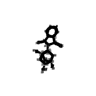 O=C1c2ccccc2C(=O)N1[C@@H]1C[C@@H]2C[C@H]1C[C@H]2O